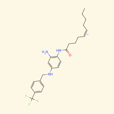 CCCC/C=C\CCCC(=O)Nc1ccc(NCc2ccc(C(F)(F)F)cc2)cc1N